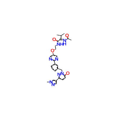 CC(=O)N[C@H](C(=O)NCCOc1cnc(-c2cccc(Cn3nc(-c4cnn(C)c4)ccc3=O)c2)nc1)C(C)C